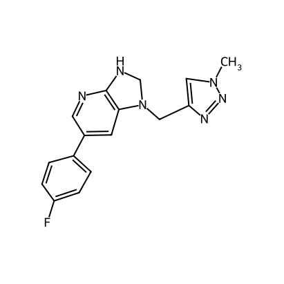 Cn1cc(CN2CNc3ncc(-c4ccc(F)cc4)cc32)nn1